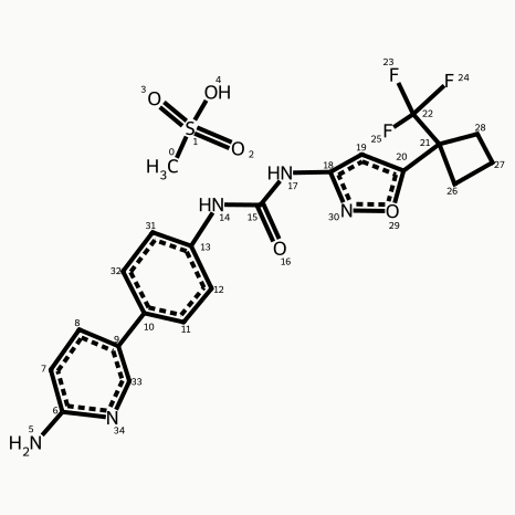 CS(=O)(=O)O.Nc1ccc(-c2ccc(NC(=O)Nc3cc(C4(C(F)(F)F)CCC4)on3)cc2)cn1